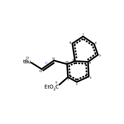 CCOC(=O)c1ccc2ccccc2c1/C=C/C(C)(C)C